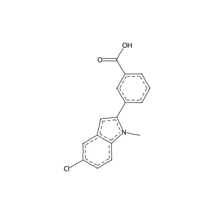 Cn1c(-c2cccc(C(=O)O)c2)cc2cc(Cl)ccc21